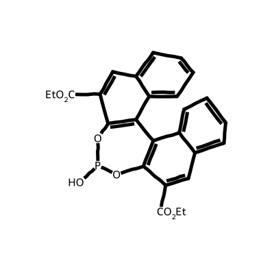 CCOC(=O)c1cc2ccccc2c2c1op(O)oc1c(C(=O)OCC)cc3ccccc3c12